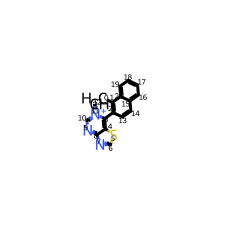 Cc1c(-c2c3scnc3nc[n+]2C)ccc2ccccc12